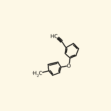 C#Cc1cccc(Oc2ccc([CH2])cc2)c1